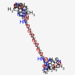 COc1cc2c(cc1-c1c(C)noc1C)ncc1c2n(C(C)c2ccccn2)c(=O)n1CC(=O)NCCOCCOCCOCCOCCOCCOCCOCCNC(=O)Cn1c(=O)n(C(C)c2ccccn2)c2c3cc(OC)c(-c4c(C)noc4C)cc3ncc21